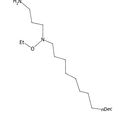 CCCCCCCCCCCCCCCCCCN(CCCN)OCC